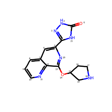 O=c1[nH]nc(-c2cc3cccnc3c(OC3CCNC3)n2)[nH]1